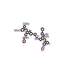 CCCC1(CCC)c2cc(-c3ccccc3)ccc2-c2c1c1c(c3ccc(NC(=O)Cc4cccc(-c5ccc6c(c5)C(C)(C)c5c7c(c8ccc(NC(=O)c9ccccc9)cc8c5-6)OC(c5ccc(OC)cc5)(c5ccc(OC)cc5)C=C7)c4)cc23)OC(c2ccc(F)cc2)(c2ccc(N3CCOCC3)cc2)C=C1